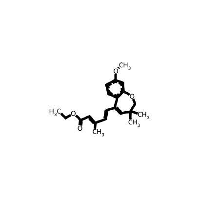 CCOC(=O)C=C(C)C=CC1=CC(C)(C)COc2cc(OC)ccc21